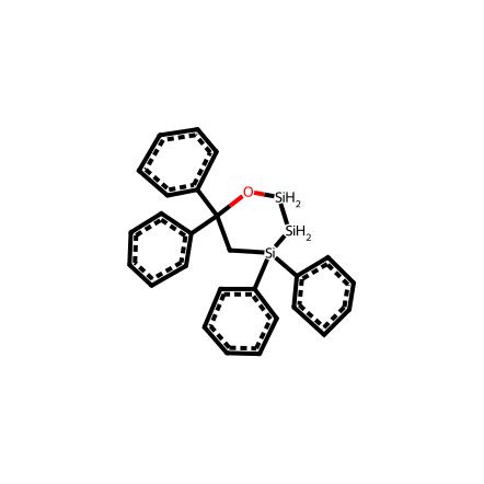 c1ccc(C2(c3ccccc3)C[Si](c3ccccc3)(c3ccccc3)[SiH2][SiH2]O2)cc1